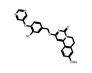 COc1ccc2c(c1)CCn1c-2cc(OCc2ccc(Oc3cncnc3)c(C#N)c2)nc1=O